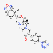 Cc1c([C@H]2CN3CCN(CC(C=O)c4ccc(-n5cnnn5)cc4)C[C@H]3CO2)ccc2nonc12